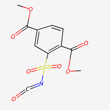 COC(=O)c1ccc(C(=O)OC)c(S(=O)(=O)N=C=O)c1